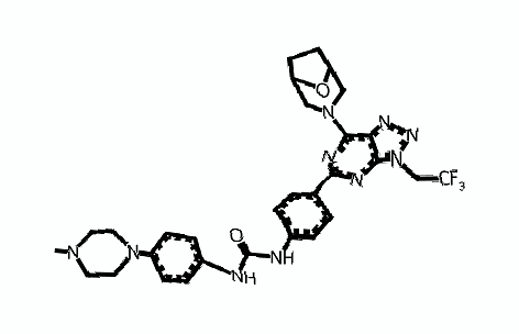 CN1CCN(c2ccc(NC(=O)Nc3ccc(-c4nc(N5CC6CCC(C5)O6)c5nnn(CC(F)(F)F)c5n4)cc3)cc2)CC1